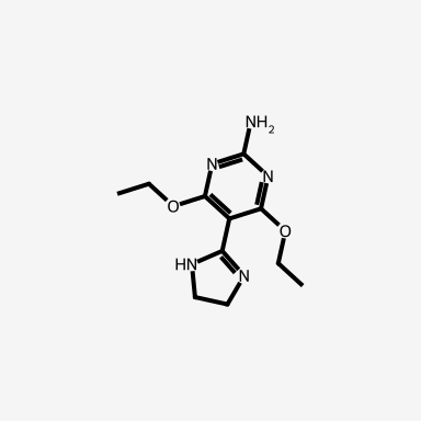 CCOc1nc(N)nc(OCC)c1C1=NCCN1